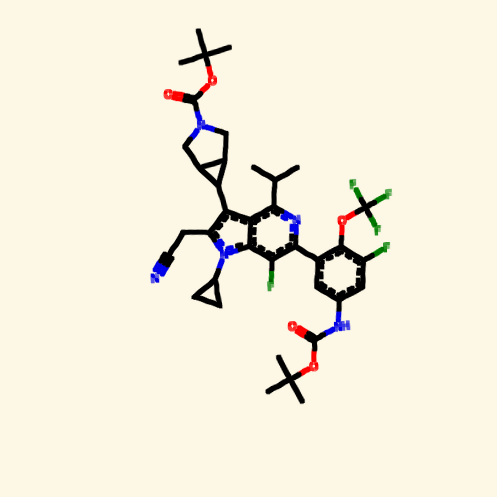 CC(C)c1nc(-c2cc(NC(=O)OC(C)(C)C)cc(F)c2OC(F)(F)F)c(F)c2c1c(C1C3CN(C(=O)OC(C)(C)C)CC31)c(CC#N)n2C1CC1